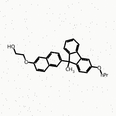 CCCOc1ccc2c(c1)-c1ccccc1C2(C)c1ccc2cc(OCCO)ccc2c1